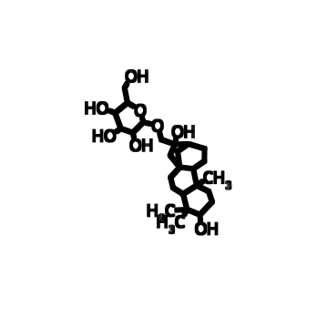 CC1(C)C(O)CCC2(C)C3CCC4CC3(CCC12)CC4(O)COC1OC(CO)C(O)C(O)C1O